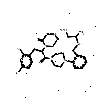 COCC(C)NCc1ccccc1N1CCN(C(=O)C(Cc2ccc(Cl)cc2Cl)N2CCNCC2=O)CC1